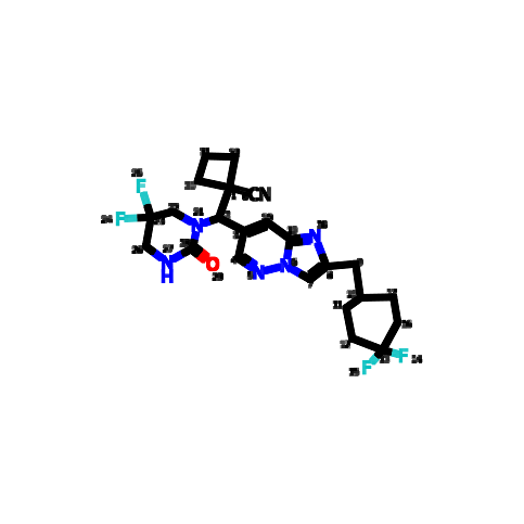 N#CC1(C(c2cnn3cc(CC4CCC(F)(F)CC4)nc3c2)N2CC(F)(F)CNC2=O)CCC1